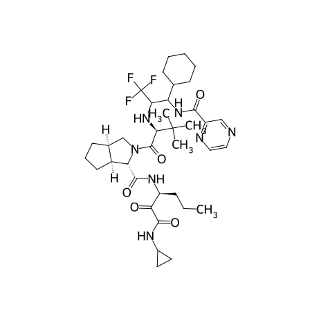 CCC[C@H](NC(=O)[C@@H]1[C@H]2CCC[C@H]2CN1C(=O)[C@@H](NC(C(NC(=O)c1cnccn1)C1CCCCC1)C(F)(F)F)C(C)(C)C)C(=O)C(=O)NC1CC1